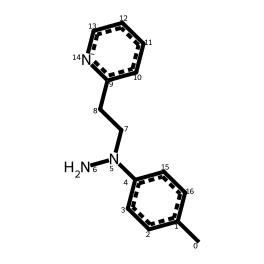 Cc1ccc(N(N)CCc2ccccn2)cc1